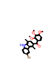 COc1ccc(C(=O)c2cc(C)c3[nH]c4ccc(Br)cc4c3c2C)c(OC)c1OC